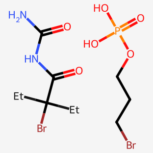 CCC(Br)(CC)C(=O)NC(N)=O.O=P(O)(O)OCCCBr